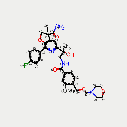 COc1cc(C(=O)NCC(O)(c2cc3c(c(-c4ccc(F)cc4)n2)OC[C@]3(C)C(N)=O)C(F)(F)F)ccc1COCN1CCOCC1